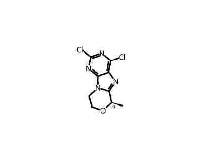 C[C@H]1OCCn2c1nc1c(Cl)nc(Cl)nc12